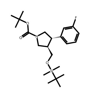 CC(C)(C)OC(=O)N1C[C@H](CO[Si](C)(C)C(C)(C)C)[C@@H](c2cccc(F)c2)C1